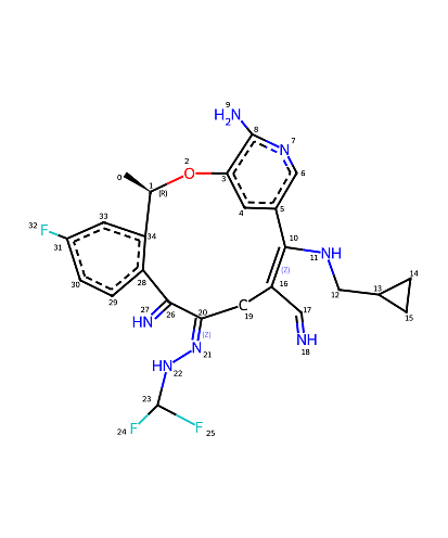 C[C@H]1Oc2cc(cnc2N)/C(NCC2CC2)=C(/C=N)C/C(=N/NC(F)F)C(=N)c2ccc(F)cc21